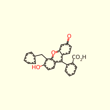 O=C(O)c1ccccc1-c1c2ccc(=O)cc-2oc2c(Cc3ccccc3)c(O)ccc12